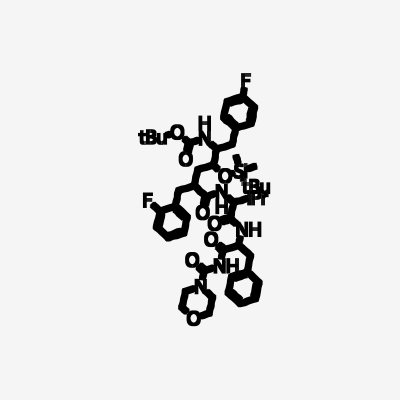 CC(C)C(NC(=O)C(Cc1ccccc1F)CC(O[Si](C)(C)C(C)(C)C)C(Cc1ccc(F)cc1)NC(=O)OC(C)(C)C)C(=O)NC(Cc1ccccc1)C(=O)NC(=O)N1CCOCC1